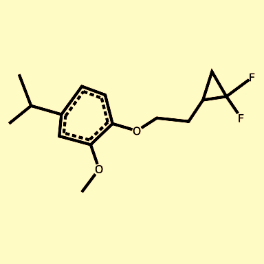 COc1cc(C(C)C)ccc1OCCC1CC1(F)F